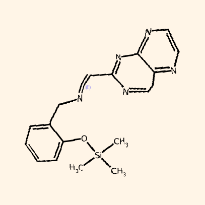 C[Si](C)(C)Oc1ccccc1C/N=C/c1ncc2nccnc2n1